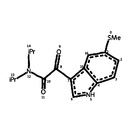 CSc1ccc2[nH]cc(C(=O)C(=O)N(C(C)C)C(C)C)c2c1